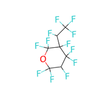 FC1C(F)(F)OC(F)(F)C(F)(C(F)C(F)(F)F)C1(F)F